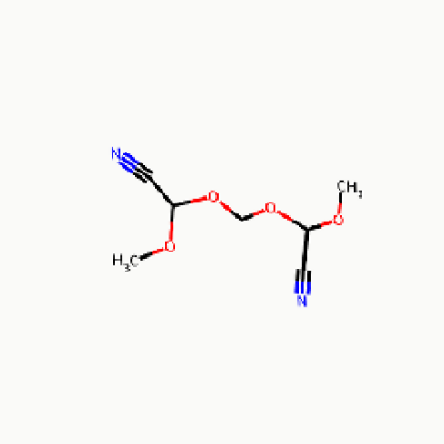 COC(C#N)OCOC(C#N)OC